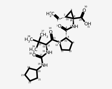 C=C[C@@H]1C[C@]1(NC(=O)[C@@H]1CCCN1C(=O)[C@@H](NC(=O)NC1CCCC1)C(C)(C)C)C(=O)O